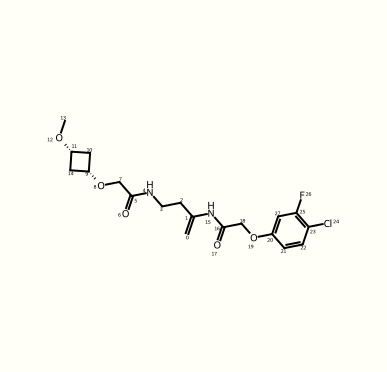 C=C(CCNC(=O)CO[C@H]1C[C@@H](OC)C1)NC(=O)COc1ccc(Cl)c(F)c1